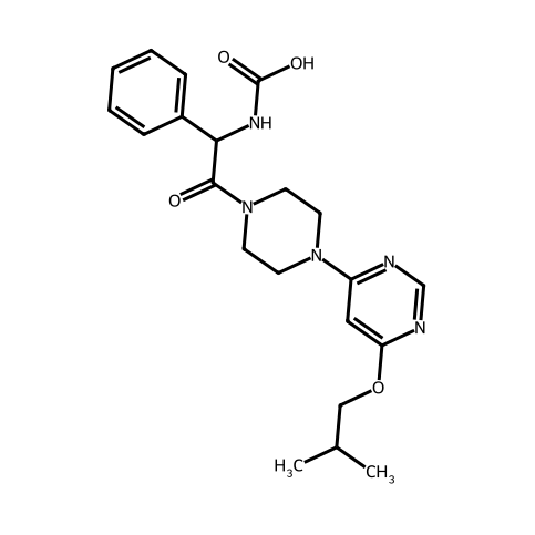 CC(C)COc1cc(N2CCN(C(=O)C(NC(=O)O)c3ccccc3)CC2)ncn1